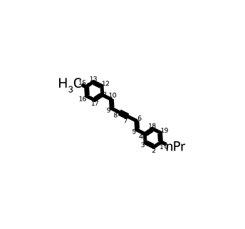 CCCc1ccc(C=CC#CC=Cc2ccc(C)cc2)cc1